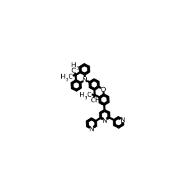 CC1(C)c2cc(-c3cc(-c4cccnc4)nc(-c4cccnc4)c3)ccc2Oc2ccc(N3c4ccccc4C(C)(C)c4ccccc43)cc21